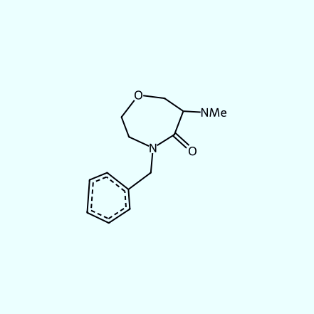 CNC1COCCN(Cc2ccccc2)C1=O